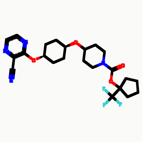 N#Cc1nccnc1O[C@H]1CC[C@H](OC2CCN(C(=O)OC3(C(F)(F)F)CCCC3)CC2)CC1